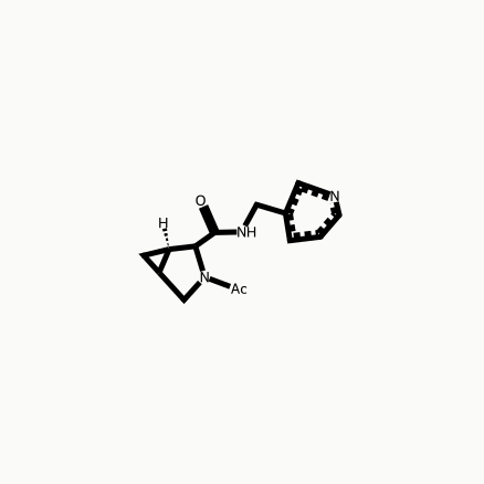 CC(=O)N1CC2C[C@H]2C1C(=O)NCc1cccnc1